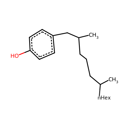 CCCCCCC(C)CCCC(C)Cc1ccc(O)cc1